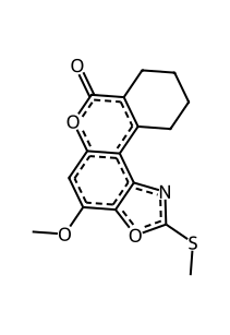 COc1cc2oc(=O)c3c(c2c2nc(SC)oc12)CCCC3